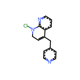 ClN1CC=C(Cc2ccncc2)c2cccnc21